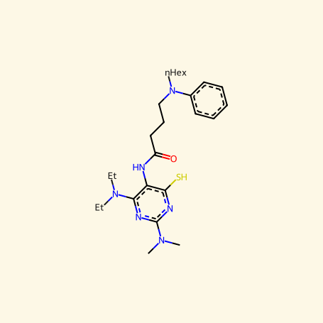 CCCCCCN(CCCC(=O)Nc1c(S)nc(N(C)C)nc1N(CC)CC)c1ccccc1